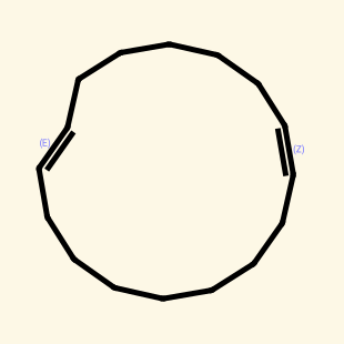 C1=C\CCCCCCC/C=C/CCCCC/1